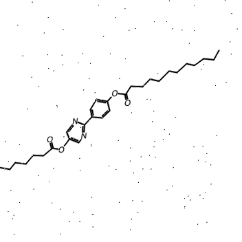 CCCCCCCCCCCC(=O)Oc1ccc(-c2ncc(OC(=O)CCCCCCC)cn2)cc1